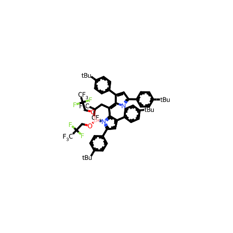 CC(C)(C)c1ccc(C2=CC(c3ccc(C(C)(C)C)cc3)=N/C2=C(/CC(C(F)(F)F)C(F)(F)F)c2c(-c3ccc(C(C)(C)C)cc3)cc(-c3ccc(C(C)(C)C)cc3)n2B(OCC(F)(F)C(F)(F)F)OCC(F)(F)C(F)(F)F)cc1